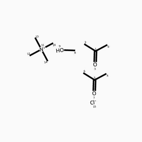 CC(C)=O.CC(C)=O.CO.C[N+](C)(C)C.[Cl-]